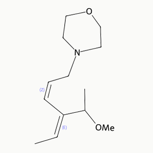 C/C=C(\C=C/CN1CCOCC1)C(C)OC